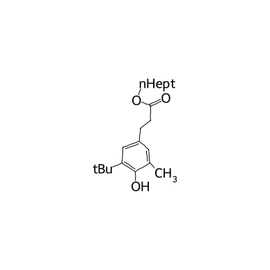 CCCCCCCOC(=O)CCc1cc(C)c(O)c(C(C)(C)C)c1